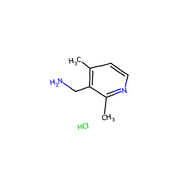 Cc1ccnc(C)c1CN.Cl